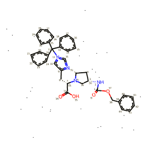 O=C(N[C@H]1CCN([C@@H](Cc2cn(C(c3ccccc3)(c3ccccc3)c3ccccc3)cn2)C(=O)O)C1)OCc1ccccc1